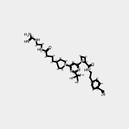 N#Cc1ccc(CCNC(=O)C2CCN2c2cc(N3CCC(CCCC(=O)NCCNC(=N)N)CC3)nc(C(F)(F)F)n2)cc1